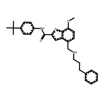 COc1ccc(CNCCCc2ccccc2)c2cc(C(=O)Nc3ccc(C(C)(C)C)cc3)oc12